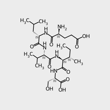 CC[C@H](C)[C@H](NC(=O)[C@@H](NC(=O)[C@H](CC(C)C)NC(=O)[C@@H](N)CCC(=O)O)C(C)C)C(=O)N[C@@H](CO)C(=O)O